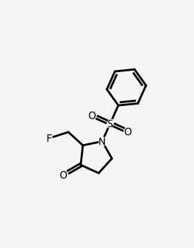 O=C1CCN(S(=O)(=O)c2ccccc2)C1CF